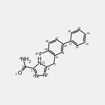 NC(=O)c1nnc(Cc2cc(-c3ccccc3)ccc2F)[nH]1